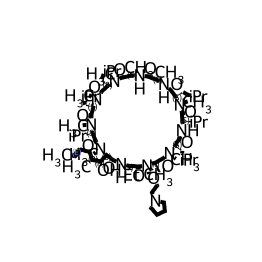 C/C=C/C[C@@H](C)[C@@H](O)[C@H]1C(=O)N[C@@H](CC)C(=O)N(C)[C@H](COCCN2CCCC2)C(=O)N(C)[C@@H](CC(C)C)C(=O)N[C@@H](C(C)C)C(=O)N(C)[C@@H](CC(C)C)C(=O)N[C@@H](C)C(=O)N[C@@H](C)C(=O)N(C)[C@@H](CC(C)C)C(=O)N(C)[C@@H](CC(C)C)C(=O)N(C)[C@@H](C(C)C)C(=O)N1C